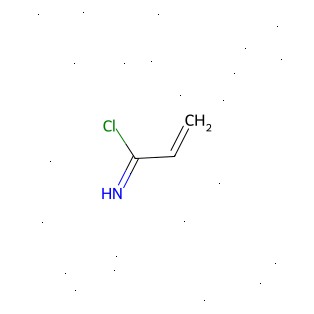 C=CC(=N)Cl